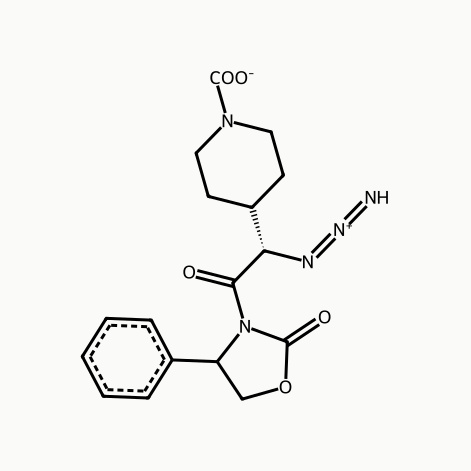 N=[N+]=N[C@H](C(=O)N1C(=O)OCC1c1ccccc1)C1CCN(C(=O)[O-])CC1